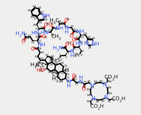 CSCC[C@H](NC(=O)[C@H](CC(C)C)NC(=O)[C@H](Cc1c[nH]cn1)NC(=O)CNC(=O)[C@H](C)NC(=O)[C@H](C)NC(=O)[C@H](Cc1c[nH]c2ccccc12)NC(=O)[C@H](CCC(N)=O)NC(=O)CC[C@@H](C)[C@H]1CCC2C3CC[C@@H]4C[C@@H](NC(=O)CNC(=O)CN5CCN(CC(=O)O)CCN(CC(=O)O)CCN(CC(=O)O)CC5)CC[C@]4(C)C3C[C@H](O)[C@@]21C)C(N)=O